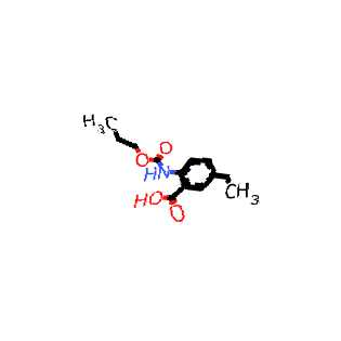 CCCOC(=O)Nc1ccc(CC)cc1C(=O)O